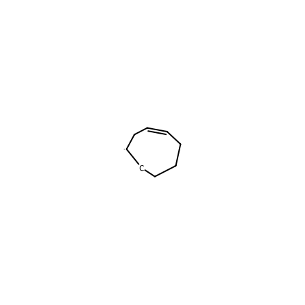 [CH]1C/C=C\CCCC1